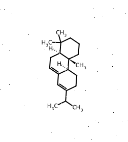 CC(C)C1=CC2=CC[C@H]3C(C)(C)CCC[C@]3(C)[C@H]2CC1